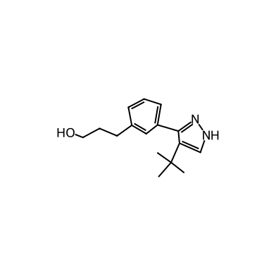 CC(C)(C)c1c[nH]nc1-c1cccc(CCCO)c1